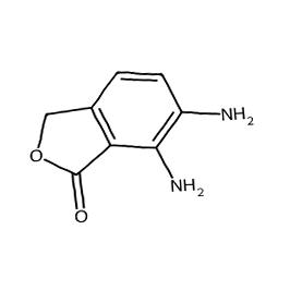 Nc1ccc2c(c1N)C(=O)OC2